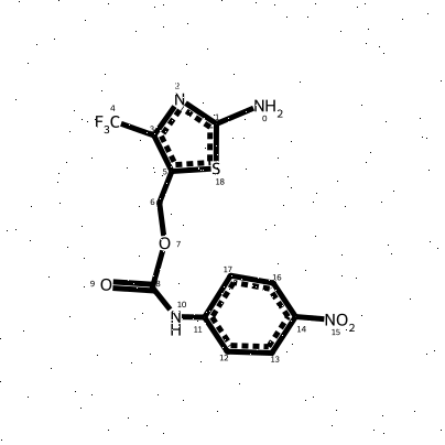 Nc1nc(C(F)(F)F)c(COC(=O)Nc2ccc([N+](=O)[O-])cc2)s1